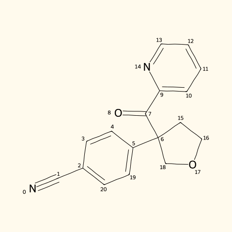 N#Cc1ccc(C2(C(=O)c3ccccn3)CCOC2)cc1